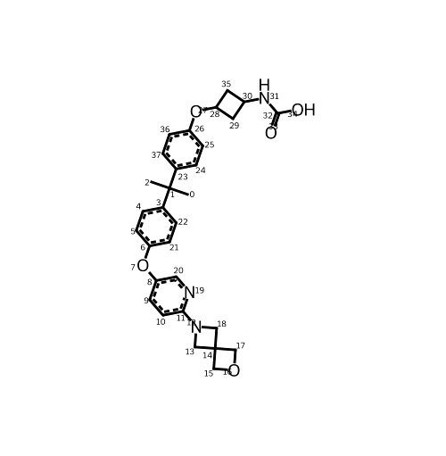 CC(C)(c1ccc(Oc2ccc(N3CC4(COC4)C3)nc2)cc1)c1ccc(OC2CC(NC(=O)O)C2)cc1